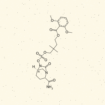 COc1cccc(OC)c1C(=O)OCCC(C)(C)COS(=O)(=O)ON1C(=O)N2C[C@H]1CCC2C(N)=O